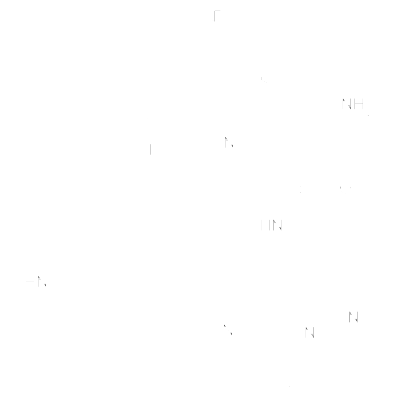 Nc1sc(-c2c(F)cccc2F)nc1C(=O)Nc1cnn2c1N(CCC1CCNCC1)CC2